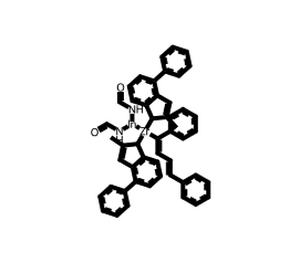 CC1=Cc2c(-c3ccccc3)cccc2[CH]1[Zr]([C](=CC=Cc1ccccc1)c1ccccc1)([CH]1C(C)=Cc2c(-c3ccccc3)cccc21)[In]([NH]C=O)[NH]C=O